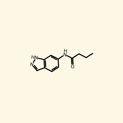 CCCC(=O)Nc1ccc2cn[nH]c2c1